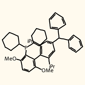 COc1ccc(OC)c(P(C2CCCCC2)C2CCCCC2)c1-c1c(C(C)C)cc(C(c2ccccc2)c2ccccc2)cc1C(C)C